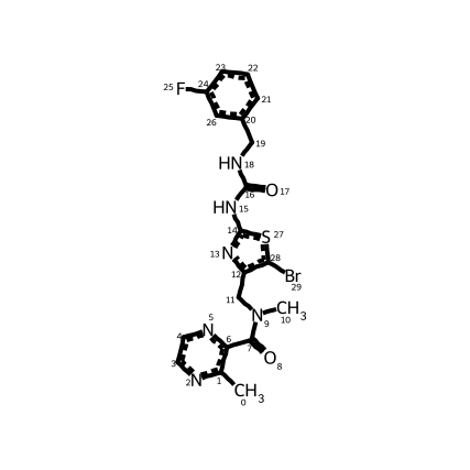 Cc1nccnc1C(=O)N(C)Cc1nc(NC(=O)NCc2cccc(F)c2)sc1Br